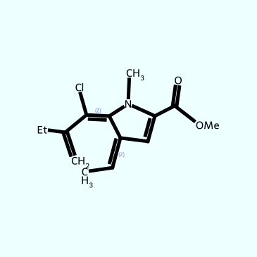 C=C(CC)/C(Cl)=c1\c(=C/C)cc(C(=O)OC)n1C